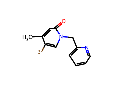 Cc1cc(=O)n(Cc2ccccn2)cc1Br